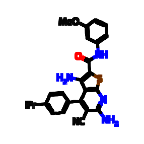 COc1cccc(NC(=O)c2sc3nc(N)c(C#N)c(-c4ccc(C(C)C)cc4)c3c2N)c1